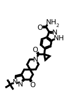 CC(C)(C)n1cc2c(n1)C(=O)CC1(CCN(C(=O)C3(c4ccc5c(C(N)=O)n[nH]c5c4)CC3)CC1)C2